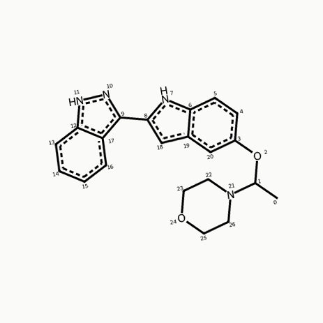 CC(Oc1ccc2[nH]c(-c3n[nH]c4ccccc34)cc2c1)N1CCOCC1